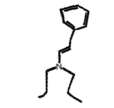 CCCN(/[C]=C/c1ccccc1)CCC